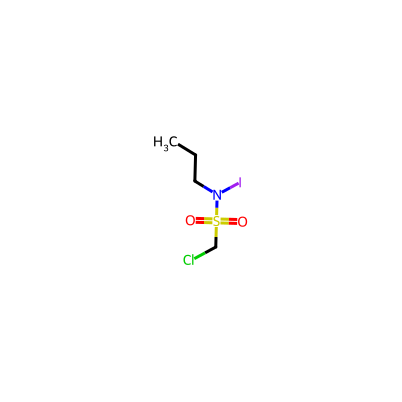 CCCN(I)S(=O)(=O)CCl